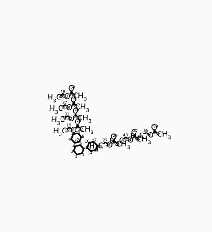 C1CCCCC1.C1CCCCC1.C1CCCCC1.CCOC(C)=O.CCOC(C)=O.CCOC(C)=O.CCOC(C)=O.CCOC(C)=O.CCOC(C)=O.CCOC(C)=O